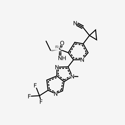 CC[S@](=N)(=O)c1cc(C2(C#N)CC2)cnc1-c1nc2cc(C(F)(F)F)ncc2n1C